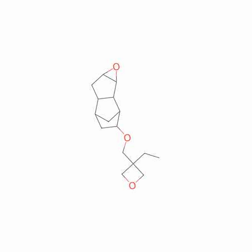 CCC1(COC2CC3CC2C2C3CC3OC32)COC1